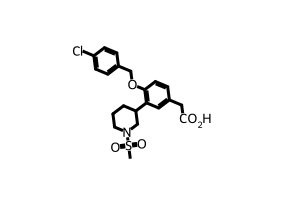 CS(=O)(=O)N1CCCC(c2cc(CC(=O)O)ccc2OCc2ccc(Cl)cc2)C1